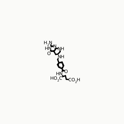 Nc1nc2c(c(=O)[nH]1)C[C@@H](NCc1ccc(C(=O)N[C@@H](CCC(=O)O)C(=O)O)cc1)CN2